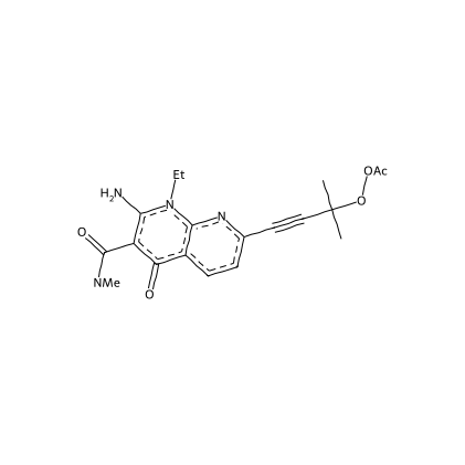 CCn1c(N)c(C(=O)NC)c(=O)c2ccc(C#CC(C)(C)OOC(C)=O)nc21